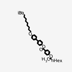 CCCCCC[C@@H](C)Oc1ccc(C(=O)Oc2ccc(-c3ccc(OCCCCCCCCC[C@@H](C)CC)cc3)cc2)cc1